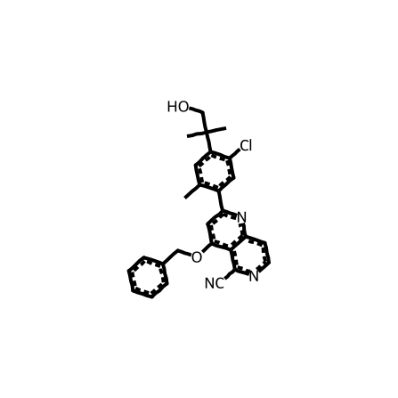 Cc1cc(C(C)(C)CO)c(Cl)cc1-c1cc(OCc2ccccc2)c2c(C#N)nccc2n1